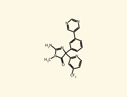 CN1C(=O)C(c2cccc(-c3cncnc3)c2)(c2cc(C(F)(F)F)ccn2)N=C1N